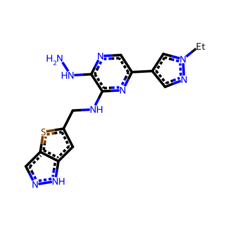 CCn1cc(-c2cnc(NN)c(NCc3cc4[nH]ncc4s3)n2)cn1